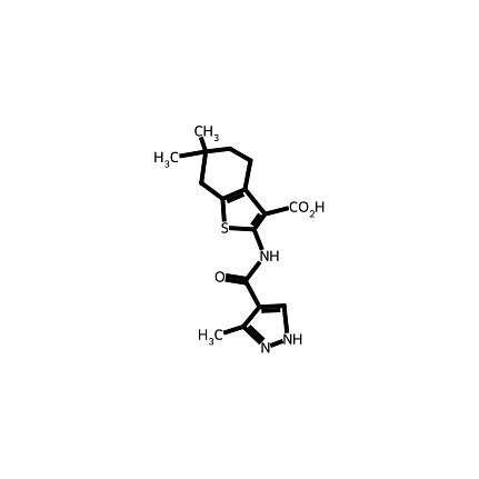 Cc1n[nH]cc1C(=O)Nc1sc2c(c1C(=O)O)CCC(C)(C)C2